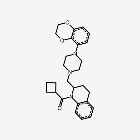 O=C(C1CCC1)N1c2ccccc2CCC1CN1CCN(c2cccc3c2OCCO3)CC1